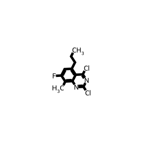 CCCc1cc(F)c(C)c2nc(Cl)nc(Cl)c12